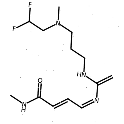 C=C(/N=C\C=C\C(=O)NC)NCCCN(C)CC(F)F